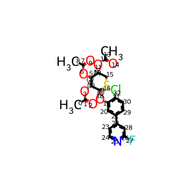 CC(=O)O[C@@H]1[C@@H](OC(C)=O)[C@H](OC(C)=O)CS[C@H]1Oc1cc(-c2ccnc(F)c2)ccc1Cl